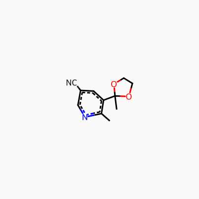 Cc1ncc(C#N)cc1C1(C)OCCO1